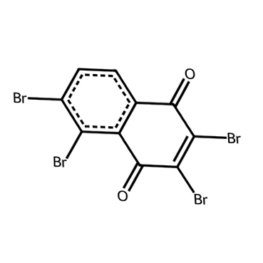 O=C1C(Br)=C(Br)C(=O)c2c1ccc(Br)c2Br